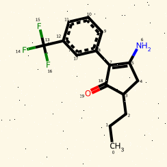 CCCC1CC(N)=C(c2cccc(C(F)(F)F)c2)C1=O